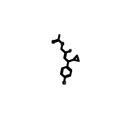 CC(=O)OCC(F)=CC(c1ccc(Cl)cc1)C1CC1